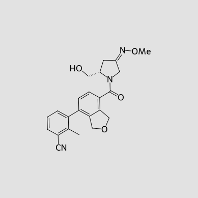 CO/N=C1/C[C@@H](CO)N(C(=O)c2ccc(-c3cccc(C#N)c3C)c3c2COC3)C1